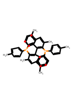 Cc1ccc(P(c2ccc(C)cc2)c2c(C)cc3ccccc3c2-c2c(P(c3ccc(C)cc3)c3ccc(C)cc3)c(C)cc3ccccc23)cc1